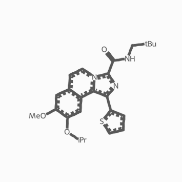 COc1cc2ccn3c(C(=O)NCC(C)(C)C)nc(-c4cccs4)c3c2cc1OC(C)C